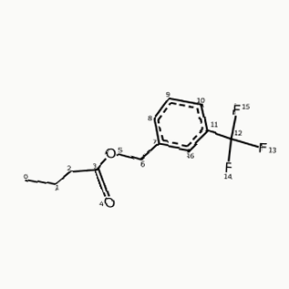 CCCC(=O)OCc1cccc(C(F)(F)F)c1